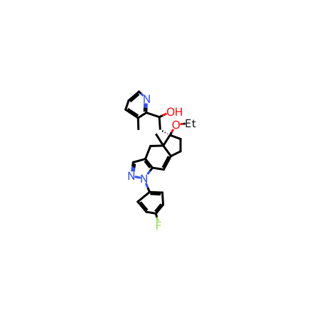 CCO[C@@]1(CC(O)c2ncccc2C)CCC2=Cc3c(cnn3-c3ccc(F)cc3)CC21C